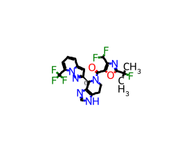 CC(C)(F)c1nc(C(F)F)c(C(=O)N2CCc3[nH]cnc3[C@H]2c2cc3cccc(C(F)(F)F)n3n2)o1